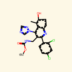 Cc1c(O)ccc2nc(-c3ccc(Cl)cc3Cl)c(CNC(=O)OC(C)(C)C)c(-n3cncn3)c12